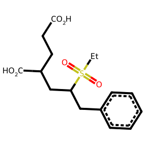 CCS(=O)(=O)C(Cc1ccccc1)CC(CCC(=O)O)C(=O)O